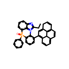 CCc1nc2cccc3c2n1-c1c(C2=C4C=CC=C5C=CC6=C(C(=C2)CC=C6)C54)cccc1P3(=O)c1ccccc1